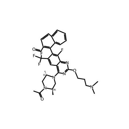 CC(=O)N1C[C@H](C)N(c2nc(OCCCN(C)C)nc3c(F)c(-c4c(C=O)ccc5ccccc45)c(C(F)(F)F)cc23)C[C@H]1C